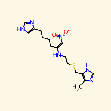 Cc1nc[nH]c1CSCCNC(=C[N+](=O)[O-])CCCCc1c[nH]cn1